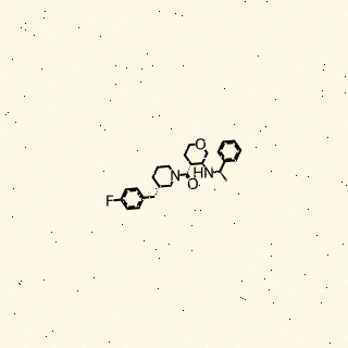 C[C@@H](N[C@@H]1COCC[C@H]1C(=O)N1CCC[C@@H](Cc2ccc(F)cc2)C1)c1ccccc1